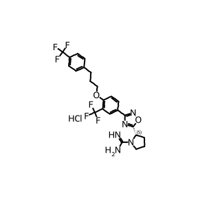 Cl.N=C(N)N1CCC[C@H]1c1nc(-c2ccc(OCCCc3ccc(C(F)(F)F)cc3)c(C(F)(F)F)c2)no1